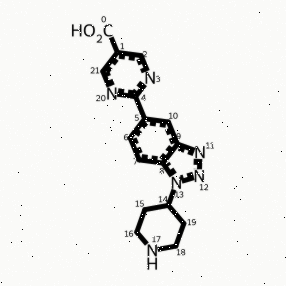 O=C(O)c1cnc(-c2ccc3c(c2)nnn3C2CCNCC2)nc1